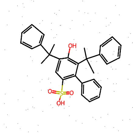 CC(C)(c1ccccc1)c1cc(S(=O)(=O)O)c(-c2ccccc2)c(C(C)(C)c2ccccc2)c1O